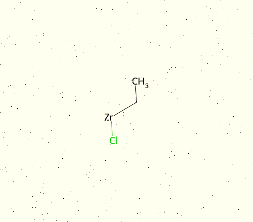 C[CH2][Zr][Cl]